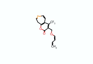 C=C/C=C\OCc1c(C(F)(F)F)c2c(oc1=O)CC=PC=C2